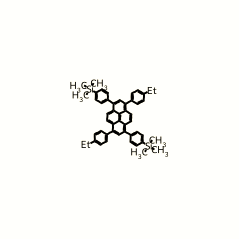 CCc1ccc(-c2cc(-c3ccc([Si](C)(C)C)cc3)c3ccc4c(-c5ccc(CC)cc5)cc(-c5ccc([Si](C)(C)C)cc5)c5ccc2c3c45)cc1